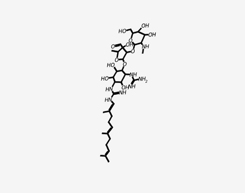 CNC1C(OC2C(OC3C(O)C(O)C(NC(=N)N/C=C(\C)CC/C=C(\C)CCC=C(C)C)C(O)C3NC(=N)N)OC(C)C2(O)C=O)OC(CO)C(O)C1O